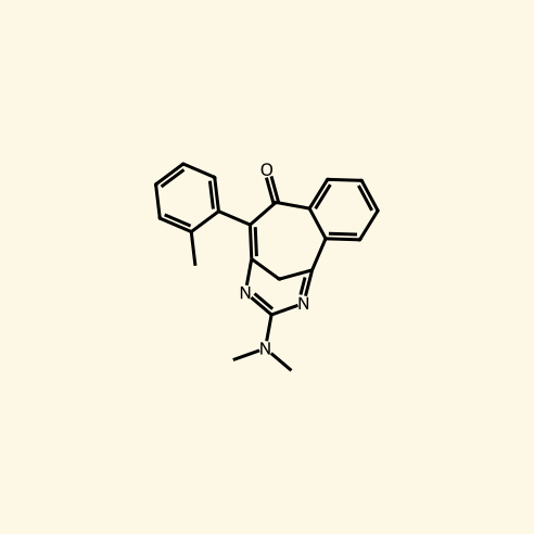 Cc1ccccc1C1=C2CC(=NC(N(C)C)=N2)c2ccccc2C1=O